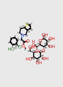 COC(=O)[C@H](c1ccccc1Cl)N1CCc2sccc2C1.Cl.OC[C@H]1O[C@@H](O[C@H]2[C@H](O)[C@@H](O)[C@H](O)O[C@@H]2CO)[C@H](O)[C@@H](O)[C@H]1O